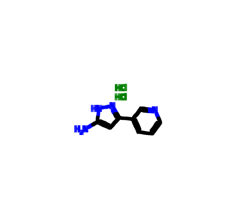 Cl.Cl.Nc1cc(-c2cccnc2)n[nH]1